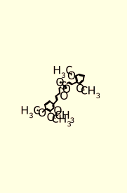 COc1cccc(OC)c1C=CS(=O)(=O)CC(=O)C=Cc1ccc(OC)c(OC)c1OC